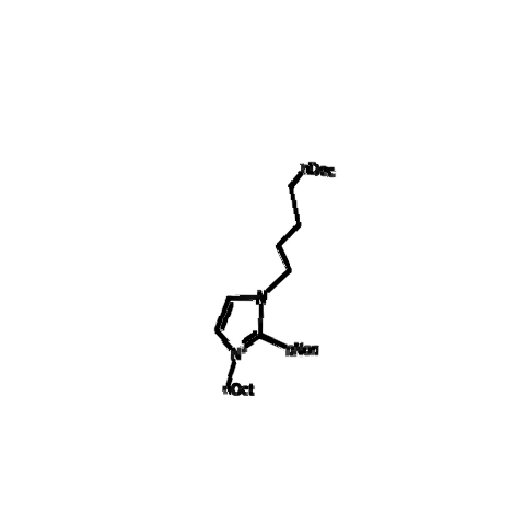 CCCCCCCCCCCCCCn1cc[n+](CCCCCCCC)c1CCCCCCCCC